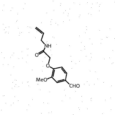 C=CCNC(=O)COc1ccc(C=O)cc1OC